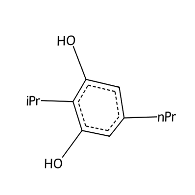 CCCc1cc(O)c(C(C)C)c(O)c1